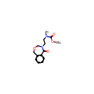 CC(C)N(CCN1COCc2ccccc2C1=O)C(=O)OC(C)(C)C